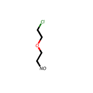 O=NCCOCCCl